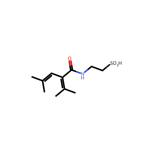 CC(C)=CC(C(=O)NCCS(=O)(=O)O)=C(C)C